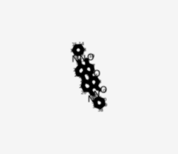 O=c1c2cc3oc4cc5c(=O)n6c7ccccc7nc6c6ccc7c8ccc(c2c8c3c4c7c56)c2nc3ccccc3n12